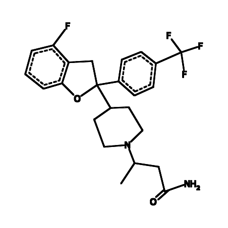 CC(CC(N)=O)N1CCC(C2(c3ccc(C(F)(F)F)cc3)Cc3c(F)cccc3O2)CC1